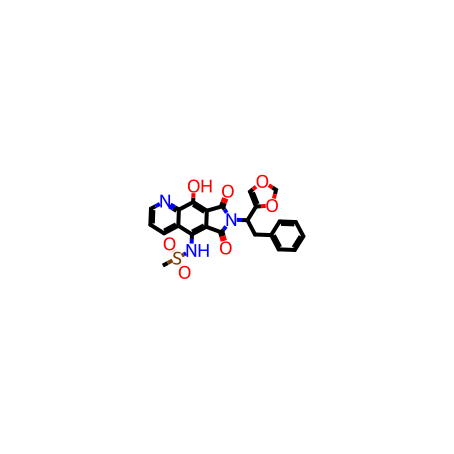 CS(=O)(=O)Nc1c2c(c(O)c3ncccc13)C(=O)N(C(Cc1ccccc1)C1=COCO1)C2=O